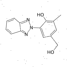 Cc1cc(CO)cc(-n2nc3ccccc3n2)c1O